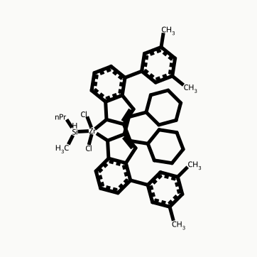 CCC[SiH](C)[Zr]([Cl])([Cl])([CH]1C(CC2CCCCC2)=Cc2c(-c3cc(C)cc(C)c3)cccc21)[CH]1C(CC2CCCCC2)=Cc2c(-c3cc(C)cc(C)c3)cccc21